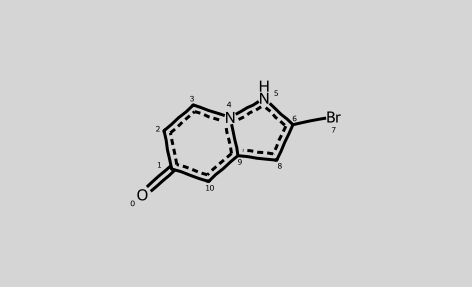 O=c1ccn2[nH]c(Br)cc2c1